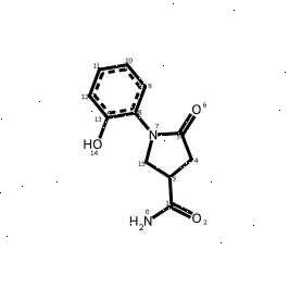 NC(=O)C1CC(=O)N(c2ccccc2O)C1